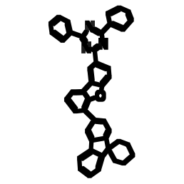 c1ccc(-c2nc(-c3ccccc3)nc(-c3ccc4oc5c(-c6ccc7c(c6)-c6ccccc6C76CCCCC6)cccc5c4c3)n2)cc1